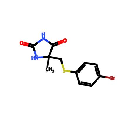 CC1(CSc2ccc(Br)cc2)NC(=O)NC1=O